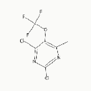 Cc1nc(Cl)nc(Cl)c1OC(F)(F)F